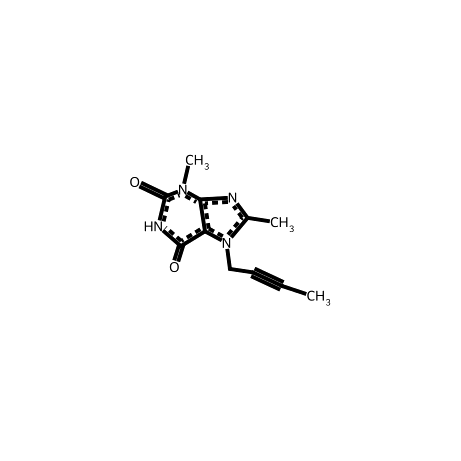 CC#CCn1c(C)nc2c1c(=O)[nH]c(=O)n2C